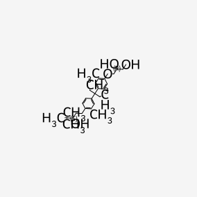 CCC(CC)(c1ccc(CC[C@H](O)C(C)(C)C)c(C)c1)c1ccc(OC[C@H](O)CO)c(C)c1